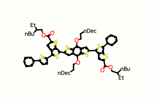 CCCCCCCCCCCCOc1c2cc(-c3sc(-c4ccc(-c5ccccc5)s4)c4cc(C(=O)OCC(CC)CCCC)sc34)sc2c(OCCCCCCCCCCCC)c2cc(-c3sc(-c4ccccc4)c4sc(C(=O)OCC(CC)CCCC)cc34)sc12